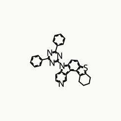 c1ccc(-c2nc(-c3ccccc3)nc(-n3c4ccncc4c4c5c6c(sc5ccc43)CCCC6)n2)cc1